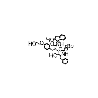 CC(C)(C)OC(=O)NC(Cc1ccccc1)C(O)CC(Cc1ccc(OCCO)cc1)C(=O)N[C@H]1c2ccccc2C[C@@H]1O